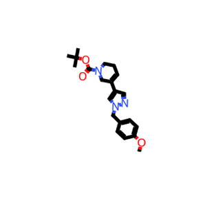 COc1ccc(Cn2cc(C3=CCCN(C(=O)OC(C)(C)C)C3)cn2)cc1